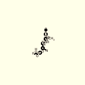 COc1nc(Nc2nccc(-c3ccc(OC4CCN(C(=O)[C@H](O)CF)CC4)c(C#N)c3)n2)ccc1N1CCN(C2COC2)CC1